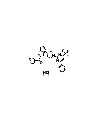 Cl.Cl.O=C(C1=CC2=CC=C[N@@+]2(N2CCN(c3nc(-c4ccccc4)cc(C(F)(F)F)n3)CC2)C1)N1CCSC1